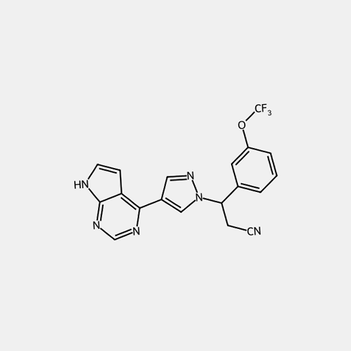 N#CCC(c1cccc(OC(F)(F)F)c1)n1cc(-c2ncnc3[nH]ccc23)cn1